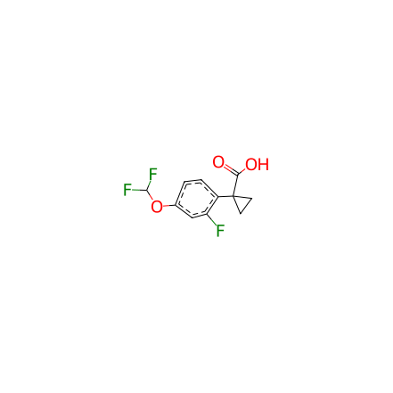 O=C(O)C1(c2ccc(OC(F)F)cc2F)CC1